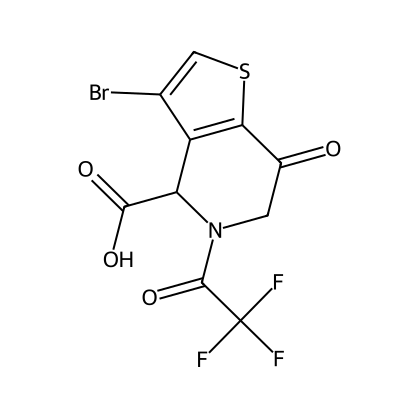 O=C1CN(C(=O)C(F)(F)F)C(C(=O)O)c2c(Br)csc21